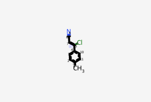 Cc1ccc(/C(Cl)=C/C#N)cc1